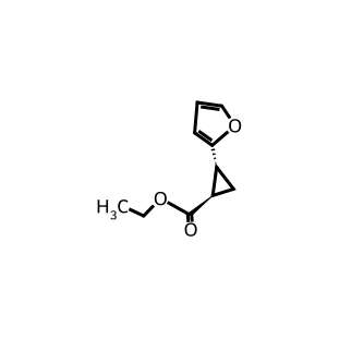 CCOC(=O)[C@@H]1C[C@H]1c1ccco1